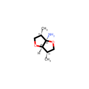 C[C@H]1CO[C@@]2(N)[C@@H]1OC[C@@H]2C